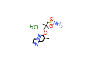 Cc1cc2nccn2nc1OCC(C)(C)CS(N)(=O)=O.Cl